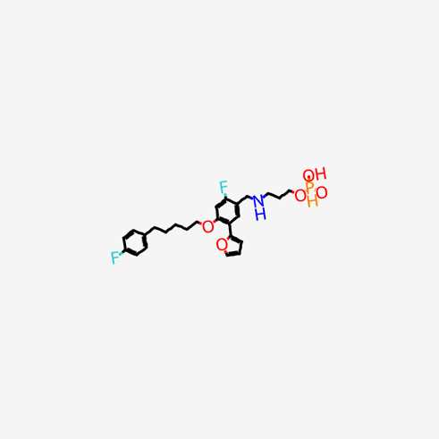 O=[PH](O)OCCCNCc1cc(-c2ccco2)c(OCCCCCc2ccc(F)cc2)cc1F